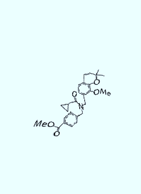 COC(=O)c1ccc(CN(Cc2ccc3c(c2OC)OC(C)(C)C=C3)C(=O)C2CC2)cc1